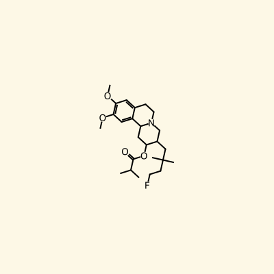 COc1cc2c(cc1OC)C1CC(OC(=O)C(C)C)C(CC(C)(C)CCF)CN1CC2